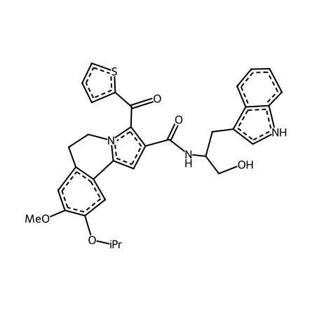 COc1cc2c(cc1OC(C)C)-c1cc(C(=O)NC(CO)Cc3c[nH]c4ccccc34)c(C(=O)c3cccs3)n1CC2